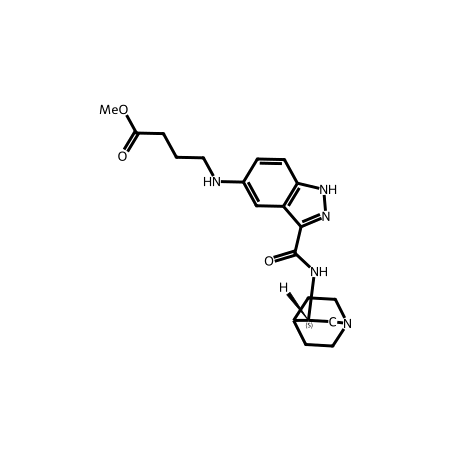 COC(=O)CCCNc1ccc2[nH]nc(C(=O)N[C@@H]3CN4CCC3CC4)c2c1